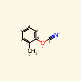 [CH2]c1ccccc1OC#N